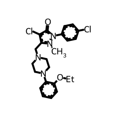 CCOc1ccccc1N1CCN(Cc2c(Cl)c(=O)n(-c3ccc(Cl)cc3)n2C)CC1